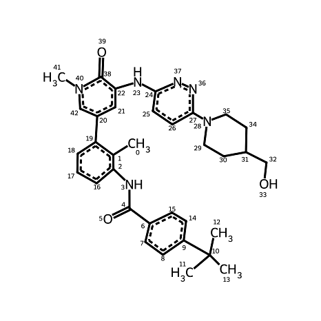 Cc1c(NC(=O)c2ccc(C(C)(C)C)cc2)cccc1-c1cc(Nc2ccc(N3CCC(CO)CC3)nn2)c(=O)n(C)c1